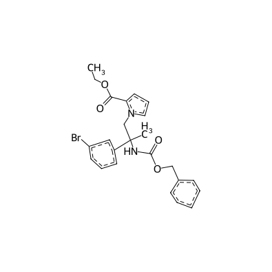 CCOC(=O)c1cccn1CC(C)(NC(=O)OCc1ccccc1)c1cccc(Br)c1